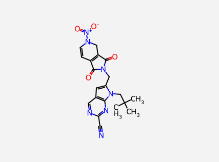 CC(C)(C)Cn1c(CN2C(=O)C3=C(CN([N+](=O)[O-])C=C3)C2=O)cc2cnc(C#N)nc21